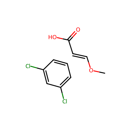 COC=CC(=O)O.Clc1cccc(Cl)c1